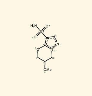 COC1COc2c(S(N)(=O)=O)cnn2C1